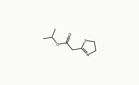 CC(C)OC(=O)CC1=NCCS1